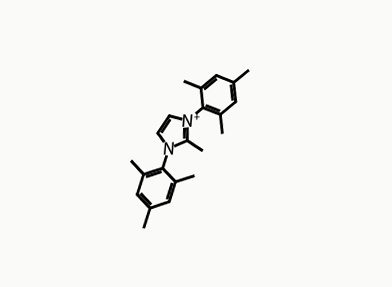 Cc1cc(C)c(-n2cc[n+](-c3c(C)cc(C)cc3C)c2C)c(C)c1